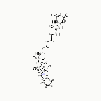 Cc1cc(=O)nc(NC(=O)NCCCCCCNS(=O)(=O)CC23CCC(/C(=C\c4ccccc4)C2=O)C3(C)C)[nH]1